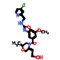 COc1cc(C(=O)N2CC(C)OCC2CCO)cc2nc(NCc3cc(Cl)ccn3)oc12